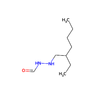 CCCCC(CC)CNNC=O